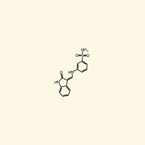 NS(=O)(=O)c1cccc(NC=C2C(=O)Nc3ccccc32)c1